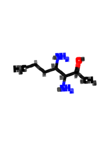 CCCC(N)C(N)C(C)=O